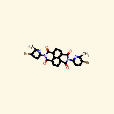 Cc1nc(N2C(=O)c3ccc4c5c(ccc(c35)C2=O)C(=O)N(c2ccc(Br)c(C)n2)C4=O)ccc1Br